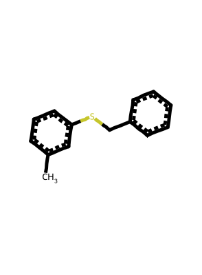 Cc1cccc(SCc2[c]cccc2)c1